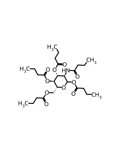 CCCC(=O)N[C@H]1C(OC(=O)CCC)O[C@H](COC(=O)CCC)[C@@H](OC(=O)CCC)[C@@H]1OC(=O)CCC